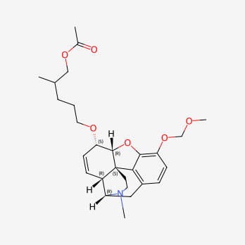 COCOc1ccc2c3c1O[C@H]1[C@@H](OCCCC(C)COC(C)=O)C=C[C@H]4[C@@H](C2)N(C)CC[C@@]341